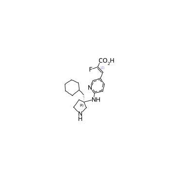 O=C(O)/C(F)=C/c1ccc(N[C@]2(CC3CCCCC3)CCNC2)nc1